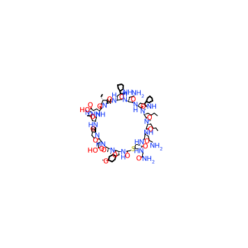 C=C[C@@H]1C[C@H]2C(=O)N[C@@H](Cc3c[nH]c4ccccc34)C(=O)N[C@@H](CCN)C(=O)N[C@@H](Cc3c[nH]c4ccccc34)C(=O)N(C)[C@@H](CCCC)C(=O)N(C)[C@@H](CCCC)C(=O)N[C@@H](CCCN)C(=O)N[C@H](C(=O)NCC(N)=O)CSCC(=O)N[C@@H](Cc3ccc(OC)cc3)C(=O)N(C)[C@@H](C)C(=O)N[C@@H](CC(=O)O)C(=O)N3CCC[C@H]3C(=O)N[C@@H](Cc3cnc[nH]3)C(=O)N[C@@H](CCC(=O)O)C(=O)N2C1